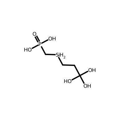 O=P(O)(O)C[SiH2]CCC(O)(O)O